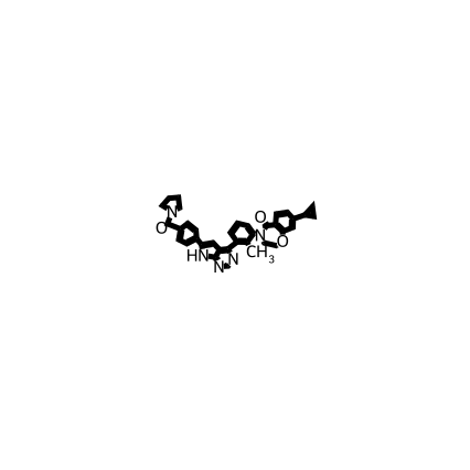 Cc1c(-c2ncnc3[nH]c(-c4ccc(C(=O)N5CCCC5)cc4)cc23)cccc1N1CCOc2cc(C3CC3)ccc2C1=O